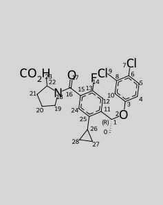 C[C@@H](Oc1ccc(Cl)c(Cl)c1)c1cc(F)c(C(=O)N2CCCC2C(=O)O)cc1C1CC1